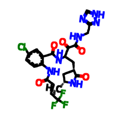 C[C@@H]1C[C@@H](CC(NC(=O)c2cc(Cl)ccc2NC(=O)CCC(F)(F)F)C(=O)C(=O)NCc2nc[nH]n2)C(=O)N1